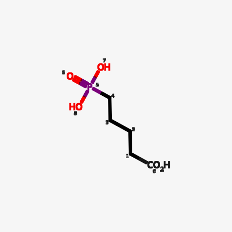 O=C(O)CCCCP(=O)(O)O